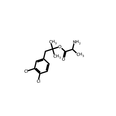 CC(N)C(=O)OC(C)(C)Cc1ccc(Cl)c(Cl)c1